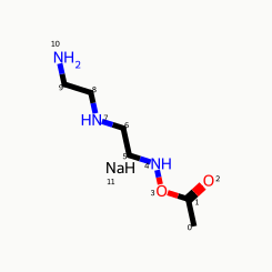 CC(=O)ONCCNCCN.[NaH]